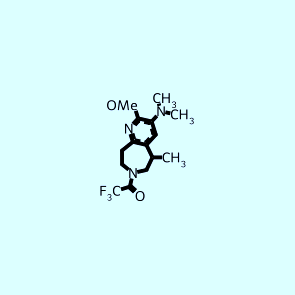 COc1nc2c(cc1N(C)C)C(C)CN(C(=O)C(F)(F)F)CC2